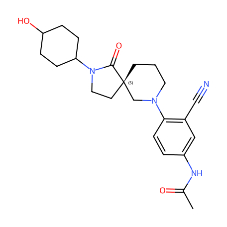 CC(=O)Nc1ccc(N2CCC[C@]3(CCN(C4CCC(O)CC4)C3=O)C2)c(C#N)c1